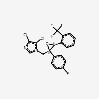 Fc1ccc([C@]2(Cn3cnc(Cl)c3Cl)O[C@H]2c2ccccc2C(F)(F)F)cc1